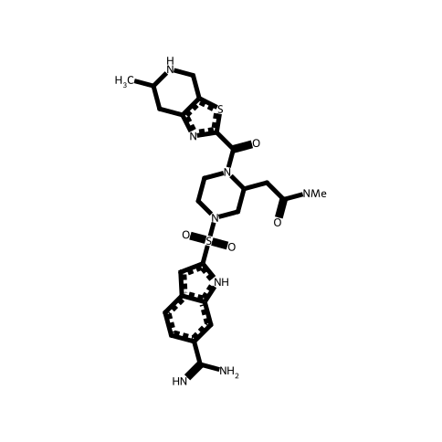 CNC(=O)CC1CN(S(=O)(=O)c2cc3ccc(C(=N)N)cc3[nH]2)CCN1C(=O)c1nc2c(s1)CNC(C)C2